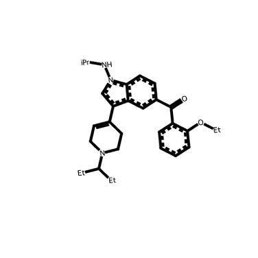 CCOc1ccccc1C(=O)c1ccc2c(c1)c(C1=CCN(C(CC)CC)CC1)cn2NC(C)C